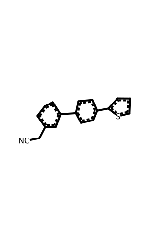 N#CCc1cccc(-c2ccc(-c3cccs3)cc2)c1